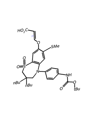 CCCCC1(CCCC)CN(c2ccc(NC(=O)OC(C)(C)C)cc2)c2cc(SC)c(O/C=C/C(=O)O)cc2S(=O)(=O)C1